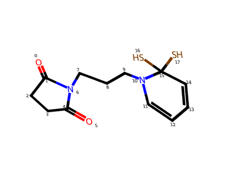 O=C1CCC(=O)N1CCCN1C=CC=CC1(S)S